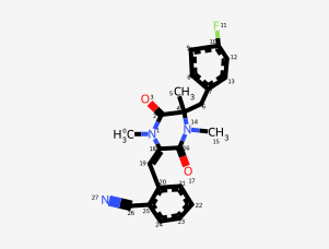 CN1C(=O)C(C)(Cc2ccc(F)cc2)N(C)C(=O)/C1=C\c1ccccc1C#N